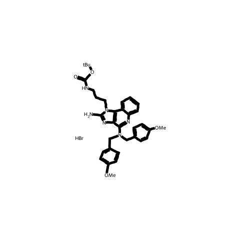 Br.COc1ccc(CN(Cc2ccc(OC)cc2)c2nc3ccccc3c3c2nc(N)n3CCCNC(=O)OC(C)(C)C)cc1